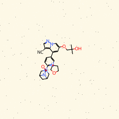 CC(C)(O)COc1cc(-c2ccc(N3CC4CC(C3)N4C(=O)[C@@H]3CCCO3)nc2)c2c(C#N)cnn2c1